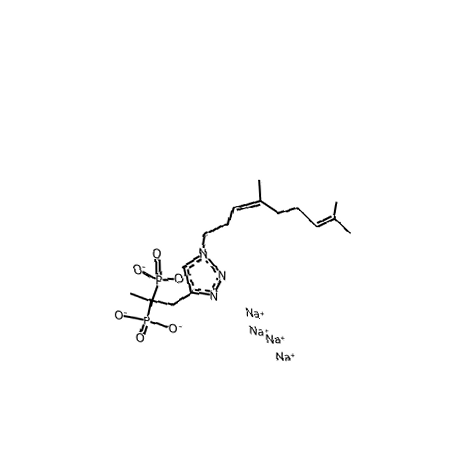 CC(C)=CCC/C(C)=C\CCn1cc(CC(C)(P(=O)([O-])[O-])P(=O)([O-])[O-])nn1.[Na+].[Na+].[Na+].[Na+]